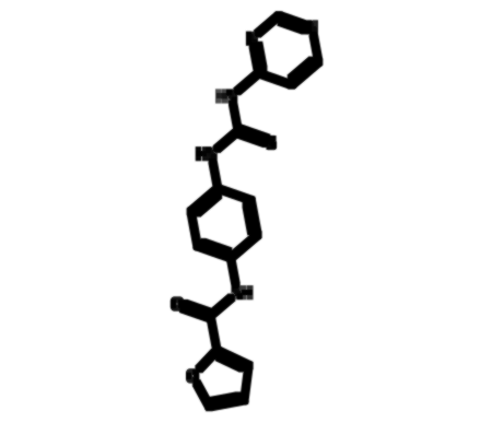 O=C(Nc1ccc(NC(=S)Nc2ccncn2)cc1)c1ccco1